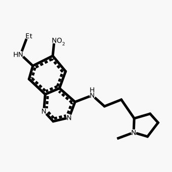 CCNc1cc2ncnc(NCCC3CCCN3C)c2cc1[N+](=O)[O-]